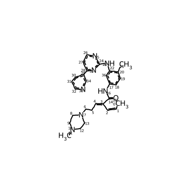 C/C=C\C(=C/CCN1CCN(C)CC1)C(=O)Nc1ccc(C)c(Nc2nccc(-c3cccnc3)n2)c1